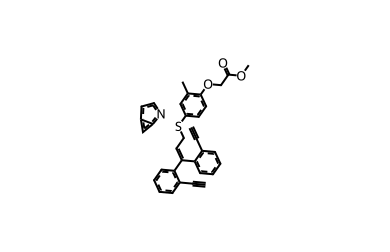 C#Cc1ccccc1C(=CCSc1ccc(OCC(=O)OC)c(C)c1)c1ccccc1C#C.c1cc2cc-2n1